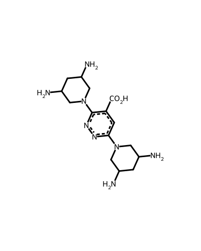 NC1CC(N)CN(c2cc(C(=O)O)c(N3CC(N)CC(N)C3)nn2)C1